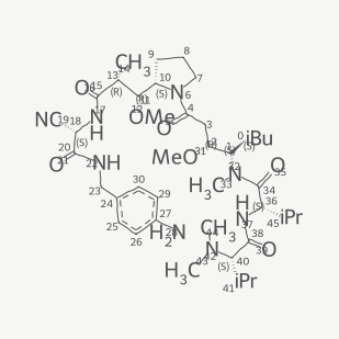 CC[C@H](C)[C@@H]([C@@H](CC(=O)N1CCC[C@H]1[C@H](OC)[C@@H](C)C(=O)N[C@@H](C#N)C(=O)NCc1ccc(N)cc1)OC)N(C)C(=O)[C@@H](NC(=O)[C@H](C(C)C)N(C)C)C(C)C